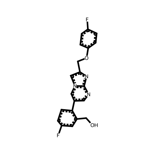 OCc1cc(F)ccc1-c1cnc2nc(COc3ccc(F)cc3)cn2c1